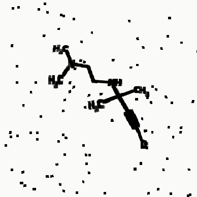 CCC#CC(C)(C)NCCN(C)C